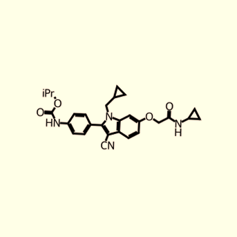 CC(C)OC(=O)Nc1ccc(-c2c(C#N)c3ccc(OCC(=O)NC4CC4)cc3n2CC2CC2)cc1